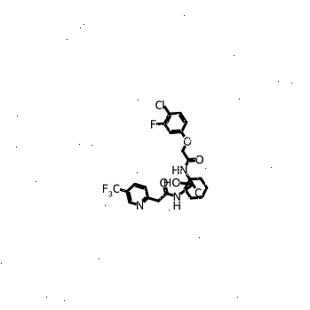 O=C(Cc1ccc(C(F)(F)F)cn1)NC1(O)CC2CCC1(NC(=O)COc1ccc(Cl)c(F)c1)CC2